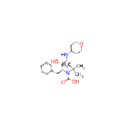 CC(C)(C)N(C(=O)O)[C@@H](Cc1ccccc1)[C@H](O)CNC1CCOCC1